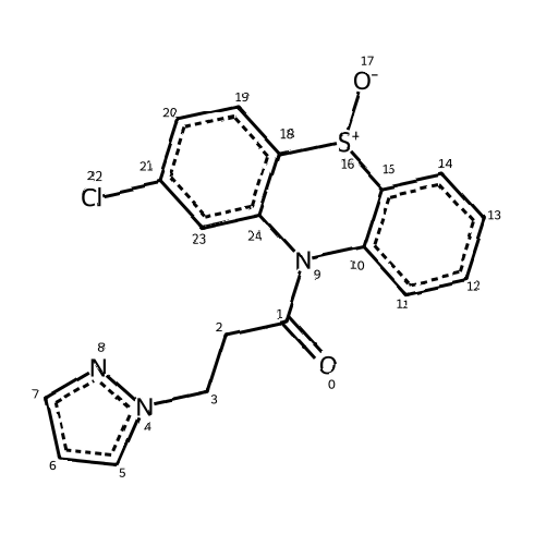 O=C(CCn1cccn1)N1c2ccccc2[S+]([O-])c2ccc(Cl)cc21